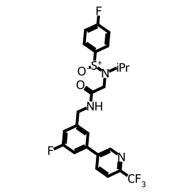 CC(C)N(CC(=O)NCc1cc(F)cc(-c2ccc(C(F)(F)F)nc2)c1)[S+]([O-])c1ccc(F)cc1